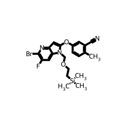 Cc1ccc(Oc2cc3nc(Br)c(F)cc3n2COCC[Si](C)(C)C)cc1C#N